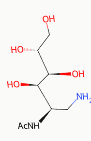 CC(=O)N[C@H](CN)[C@@H](O)[C@H](O)[C@H](O)CO